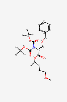 COCCCC(C)OC(=O)[C@H](COCc1ccccc1)N(C(=O)OC(C)(C)C)C(=O)OC(C)(C)C